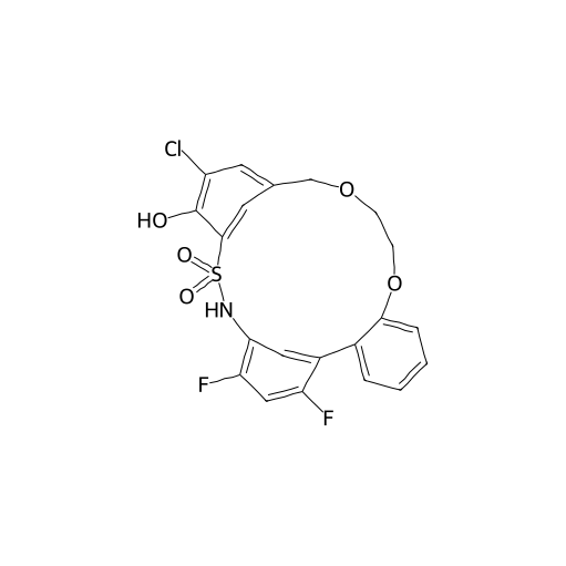 O=S1(=O)Nc2cc(c(F)cc2F)-c2ccccc2OCCOCc2cc(Cl)c(O)c1c2